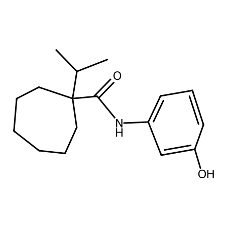 CC(C)C1(C(=O)Nc2cccc(O)c2)CCCCCC1